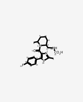 Cc1nc(C(=O)N2C(C)CCCC2CNC(=O)O)c(-c2ccc(F)cc2)s1